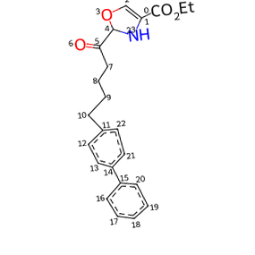 CCOC(=O)C1=COC(C(=O)CCCCc2ccc(-c3ccccc3)cc2)N1